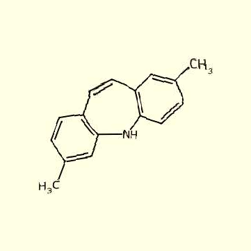 Cc1ccc2c(c1)C=Cc1ccc(C)cc1N2